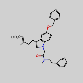 CCOC(=O)C=C(C)CCc1cn(CC(=O)N(C)CCc2ccccc2)c2ccc(OCc3ccccc3)cc12